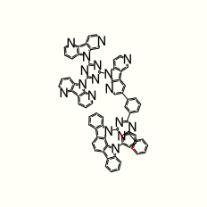 c1ccc(-c2nc(-c3cccc(-c4cnc5c(c4)c4cnccc4n5-c4nc(-n5c6cnccc6c6ncccc65)nc(-n5c6cccnc6c6cccnc65)n4)c3)nc(-n3c4ccccc4c4ccc5c6ccccc6n(-c6ccccc6)c5c43)n2)cc1